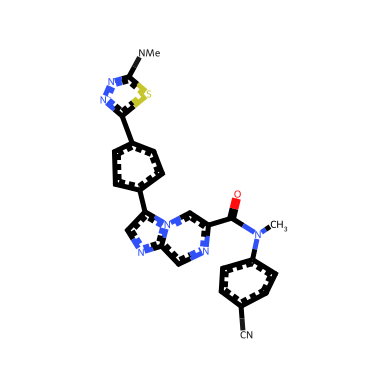 CNc1nnc(-c2ccc(-c3cnc4cnc(C(=O)N(C)c5ccc(C#N)cc5)cn34)cc2)s1